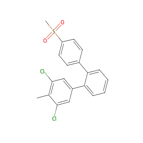 Cc1c(Cl)cc(-c2ccccc2-c2ccc(S(C)(=O)=O)cc2)cc1Cl